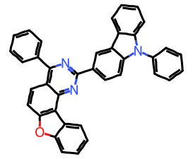 c1ccc(-c2nc(-c3ccc4c(c3)c3ccccc3n4-c3ccccc3)nc3c2ccc2oc4ccccc4c23)cc1